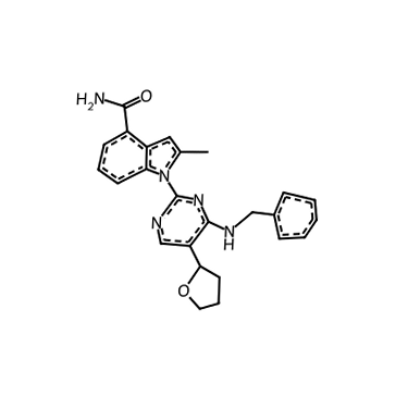 Cc1cc2c(C(N)=O)cccc2n1-c1ncc(C2CCCO2)c(NCc2ccccc2)n1